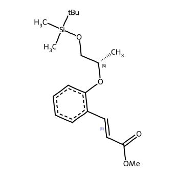 COC(=O)/C=C/c1ccccc1O[C@@H](C)CO[Si](C)(C)C(C)(C)C